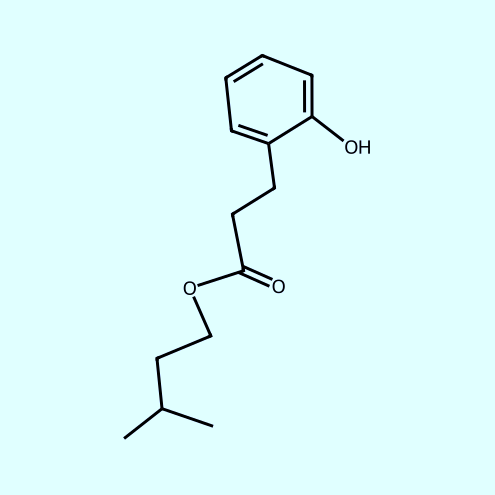 CC(C)CCOC(=O)CCc1ccccc1O